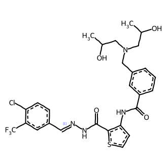 CC(O)CN(Cc1cccc(C(=O)Nc2ccsc2C(=O)N/N=C/c2ccc(Cl)c(C(F)(F)F)c2)c1)CC(C)O